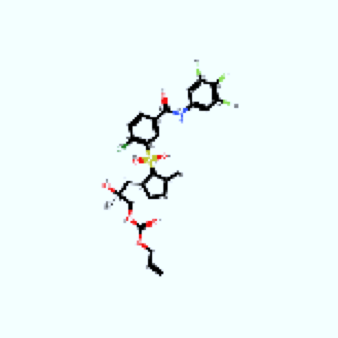 C=CCOC(=O)OC[C@](O)(CC)C[C@@H]1CCC(C)C1S(=O)(=O)c1cc(C(=O)Nc2cc(F)c(F)c(F)c2)ccc1Cl